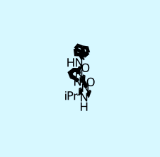 CC(C)[C@@H]1CN(C(=O)c2cn3c(C(=O)NCC45CC6CC(CC(C6)C4)C5)cccc3n2)CCN1